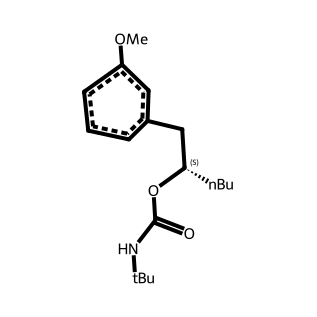 CCCC[C@@H](Cc1cccc(OC)c1)OC(=O)NC(C)(C)C